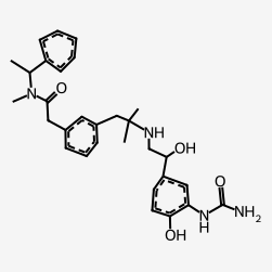 CC(c1ccccc1)N(C)C(=O)Cc1cccc(CC(C)(C)NCC(O)c2ccc(O)c(NC(N)=O)c2)c1